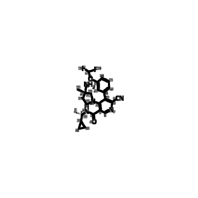 C[C@H](NC(=O)c1cnc(C#N)c(-c2cccc(OC(F)F)c2)c1N1CC[C@](C)(N)C1)C1CC1